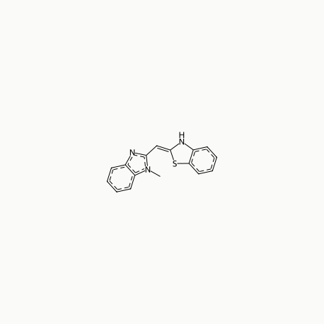 Cn1c(/C=C2/Nc3ccccc3S2)nc2ccccc21